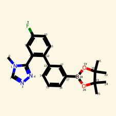 Cn1cnnc1-c1cc(F)ccc1-c1cccc(B2OC(C)(C)C(C)(C)O2)c1